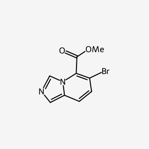 COC(=O)c1c(Br)ccc2cncn12